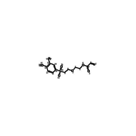 C=CC(=O)OCCOCCS(=O)(=O)c1ccc(O)c(C(C)C)c1